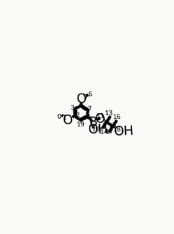 COc1cc(OC)cc(B(O)OC(C)(C)C(C)(C)O)c1